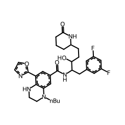 CCCCN1CCNc2c(-c3ncco3)cc(C(=O)NC(Cc3cc(F)cc(F)c3)C(O)CCC3CCCC(=O)N3)cc21